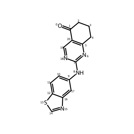 O=C1CCCc2nc(Nc3ccc4scnc4c3)ncc21